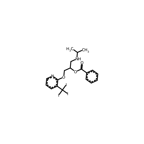 CC(C)NCC(COc1ncccc1C(I)(I)I)OC(=O)c1ccccc1